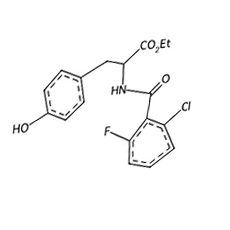 CCOC(=O)C(Cc1ccc(O)cc1)NC(=O)c1c(F)cccc1Cl